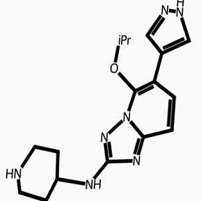 CC(C)Oc1c(-c2cn[nH]c2)ccc2nc(NC3CCNCC3)nn12